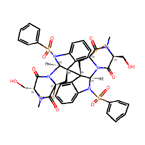 CN1C(=O)[C@@]23C[C@]4([C@]56C[C@@]78SS[C@@](CO)(C(=O)N7[C@H]5N(S(=O)(=O)c5ccccc5)c5ccccc56)N(C)C8=O)c5ccccc5N(S(=O)(=O)c5ccccc5)[C@@H]4N2C(=O)[C@]1(CO)SS3